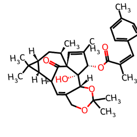 CC1=C[C@]23C(=O)[C@@H](C=C4COC(C)(C)O[C@H]4[C@]2(O)[C@H]1OC(=O)/C(C)=C\c1ccc(C)cc1)[C@H]1[C@@H](C[C@H]3C)C1(C)C